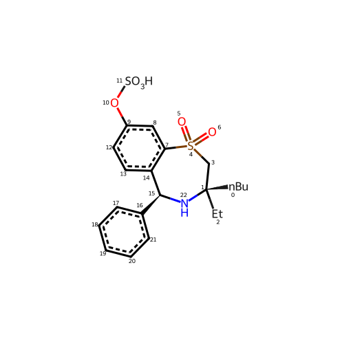 CCCC[C@]1(CC)CS(=O)(=O)c2cc(OS(=O)(=O)O)ccc2[C@H](c2ccccc2)N1